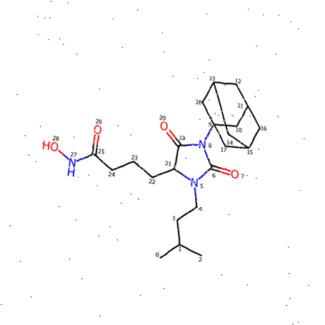 CC(C)CCN1C(=O)N(C23CC4CC(CC(C4)C2)C3)C(=O)C1CCCC(=O)NO